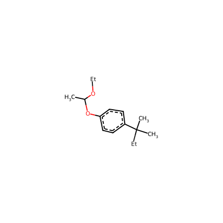 CCOC(C)Oc1ccc(C(C)(C)CC)cc1